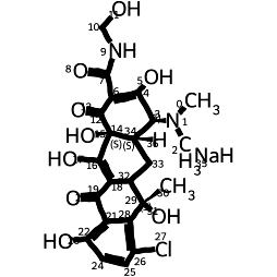 CN(C)[C@@H]1C(O)=C(C(=O)NCO)C(=O)[C@@]2(O)C(O)=C3C(=O)c4c(O)ccc(Cl)c4[C@@](C)(O)C3C[C@@H]12.[NaH]